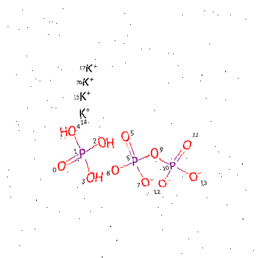 O=P(O)(O)O.O=P([O-])([O-])OP(=O)([O-])[O-].[K+].[K+].[K+].[K+]